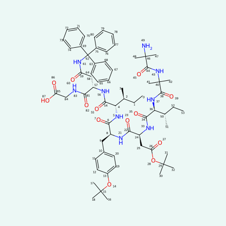 CC[C@H](C)[C@H](NC(=O)[C@H](Cc1ccc(OC(C)(C)C)cc1)NC(=O)[C@H](CC(=O)OC(C)(C)C)NC(=O)[C@@H](NC(=O)C(C)(C)NC(=O)C(C)(C)N)[C@@H](C)CC)C(=O)N[C@@H](CC(=O)NC(c1ccccc1)(c1ccccc1)c1ccccc1)C(=O)NCC(=O)O